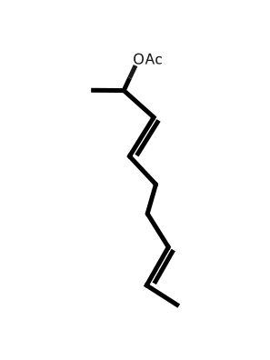 CC=CCCC=CC(C)OC(C)=O